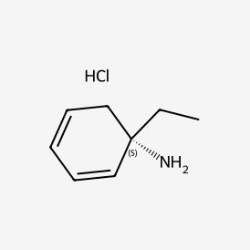 CC[C@@]1(N)C=CC=CC1.Cl